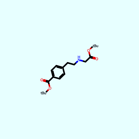 CC(C)(C)OC(=O)CNCCc1ccc(C(=O)OC(C)(C)C)cc1